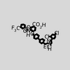 CCC(c1ccc(-c2ccc(Oc3ccc(C(=O)O)cc3NS(=O)(=O)c3cccc(C(F)(F)F)c3)cc2)cc1)c1nc(-c2ccc(Cl)cc2Cl)c[nH]1